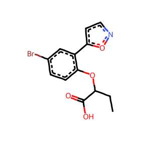 CCC(Oc1ccc(Br)cc1-c1ccno1)C(=O)O